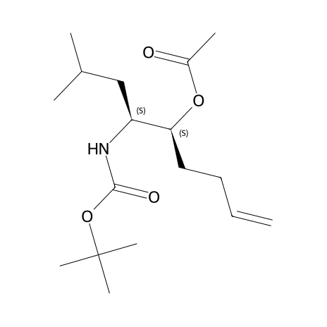 C=CCC[C@H](OC(C)=O)[C@H](CC(C)C)NC(=O)OC(C)(C)C